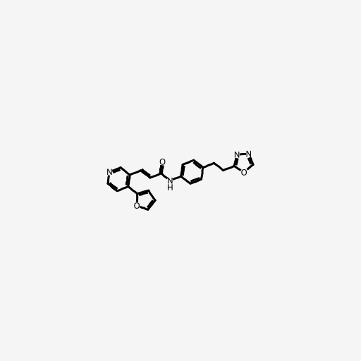 O=C(/C=C/c1cnccc1-c1ccco1)Nc1ccc(CCc2nnco2)cc1